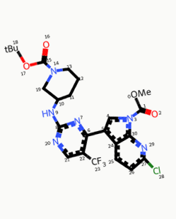 COC(=O)n1cc(-c2nc(NC3CCCN(C(=O)OC(C)(C)C)C3)ncc2C(F)(F)F)c2ccc(Cl)nc21